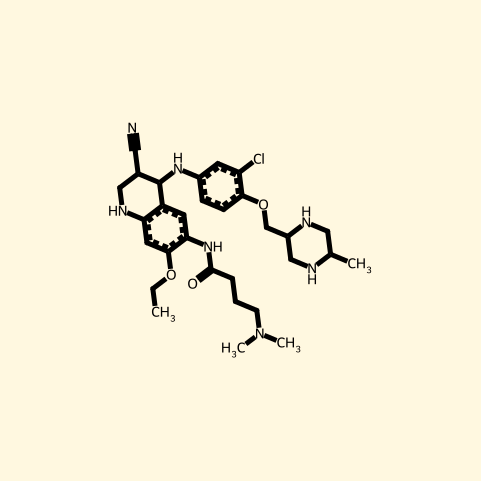 CCOc1cc2c(cc1NC(=O)CCCN(C)C)C(Nc1ccc(OCC3CNC(C)CN3)c(Cl)c1)C(C#N)CN2